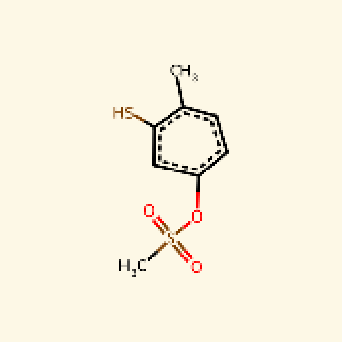 Cc1ccc(OS(C)(=O)=O)cc1S